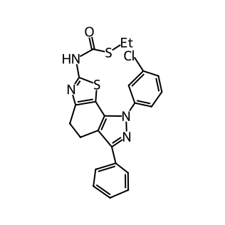 CCSC(=O)Nc1nc2c(s1)-c1c(c(-c3ccccc3)nn1-c1cccc(Cl)c1)CC2